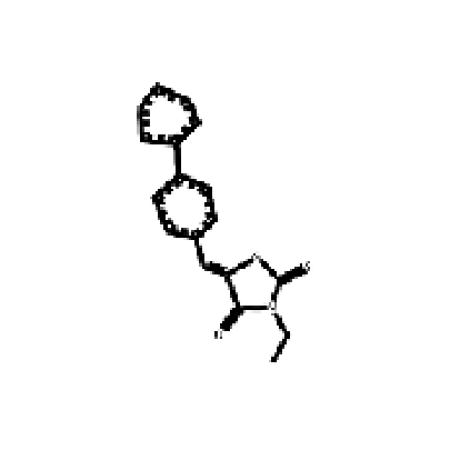 CCN1C(=O)/C(=C/c2ccc(-c3ccccc3)cc2)SC1=S